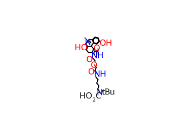 CN1CC[C@]23c4c5ccc(O)c4O[C@H]2[C@@H](NC(=O)COCC(=O)NCCCCCN(C(=O)O)C(C)(C)C)CC[C@@]3(O)C1C5